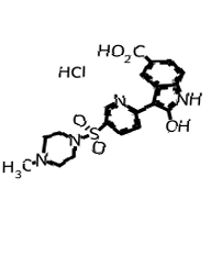 CN1CCN(S(=O)(=O)c2ccc(-c3c(O)[nH]c4ccc(C(=O)O)cc34)nc2)CC1.Cl